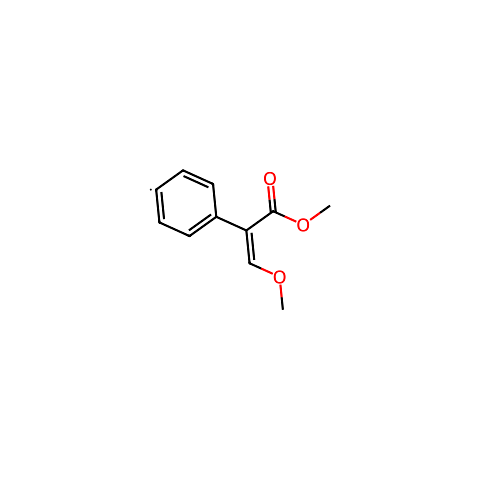 CO/C=C(\C(=O)OC)c1cc[c]cc1